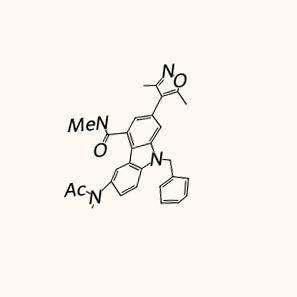 CNC(=O)c1cc(-c2c(C)noc2C)cc2c1c1cc(N(C)C(C)=O)ccc1n2Cc1ccccc1